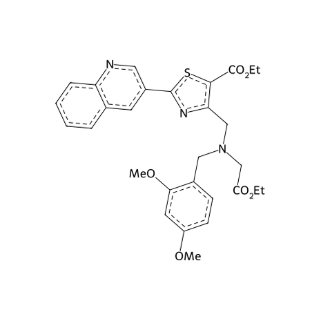 CCOC(=O)CN(Cc1ccc(OC)cc1OC)Cc1nc(-c2cnc3ccccc3c2)sc1C(=O)OCC